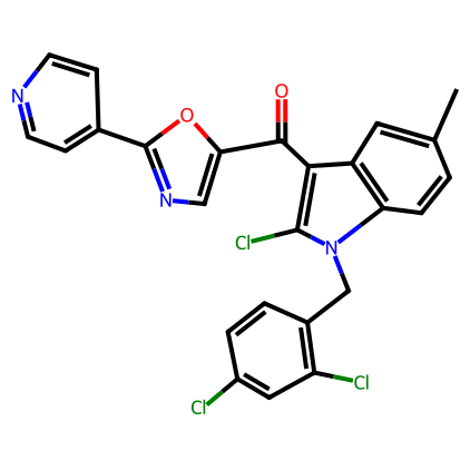 Cc1ccc2c(c1)c(C(=O)c1cnc(-c3ccncc3)o1)c(Cl)n2Cc1ccc(Cl)cc1Cl